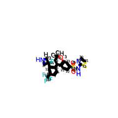 CC1(C)CC(c2ccc(C(F)(F)F)cc2C2(F)CNC2)c2ccc(S(=O)(=O)Nc3nccs3)cc2O1